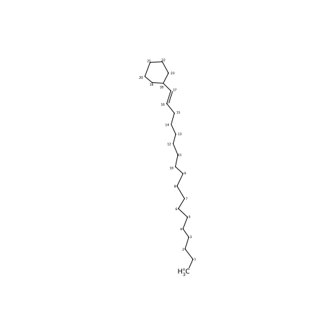 CCCCCCCCCCCCCCCCC=CC1CCCCC1